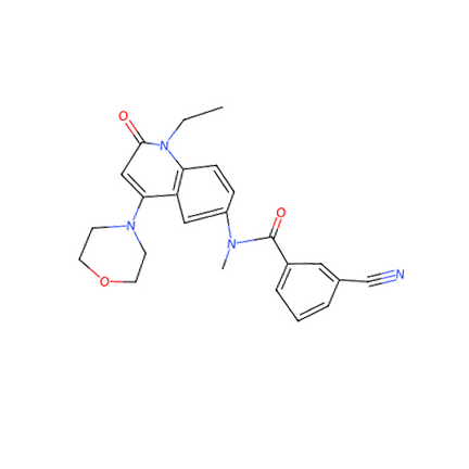 CCn1c(=O)cc(N2CCOCC2)c2cc(N(C)C(=O)c3cccc(C#N)c3)ccc21